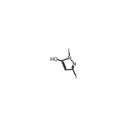 Oc1cc(I)nn1I